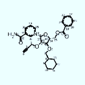 C#CCO[C@@H]1[C@H](OCC2CCCCC2)[C@@H](COC(=O)c2ccccc2)O[C@H]1[n+]1cccc(C(N)=O)c1